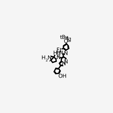 CCc1cc(O[Si](C)(C)C(C)(C)C)ccc1/N=C(\N)c1cnn2cc(-c3cccc(O)c3)cc2c1N[C@@H]1CC[C@](C)(N)C1(C)C